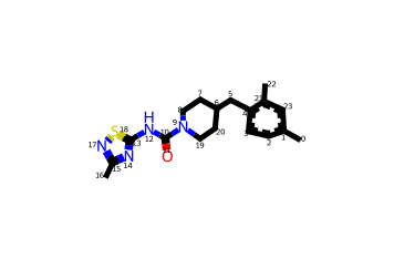 Cc1ccc(CC2CCN(C(=O)Nc3nc(C)ns3)CC2)c(C)c1